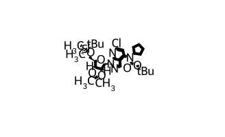 CC(C)(C)OC(=O)N(c1cc(Cl)nc2c1cnn2[C@@H]1O[C@H](CO[Si](C)(C)C(C)(C)C)[C@H]2OC(C)(C)O[C@H]21)C1CCCC1